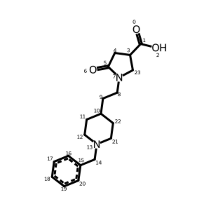 O=C(O)C1CC(=O)N(CCC2CCN(Cc3ccccc3)CC2)C1